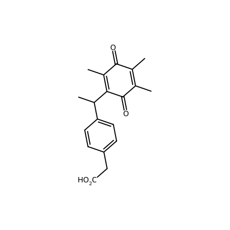 CC1=C(C)C(=O)C(C(C)c2ccc(CC(=O)O)cc2)=C(C)C1=O